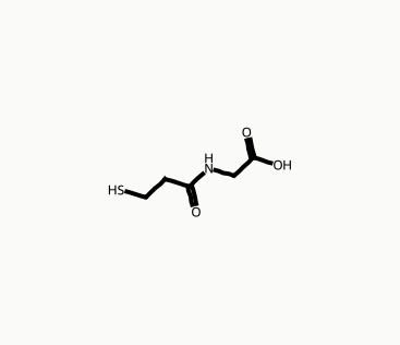 O=C(O)CNC(=O)[CH]CS